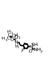 CC(C)(C)OC(=O)NCCc1ccc(N(S)C(N)=O)cc1F